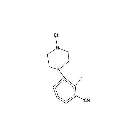 CCN1CCN(c2cccc(C#N)c2F)CC1